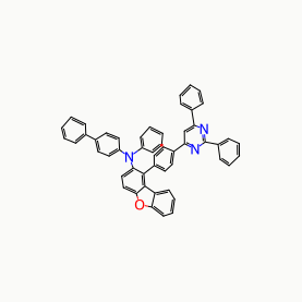 c1ccc(-c2ccc(N(c3ccccc3)c3ccc4oc5ccccc5c4c3-c3ccc(-c4cc(-c5ccccc5)nc(-c5ccccc5)n4)cc3)cc2)cc1